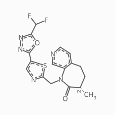 C[C@H]1CCc2ccncc2N(Cc2ncc(-c3nnc(C(F)F)o3)s2)C1=O